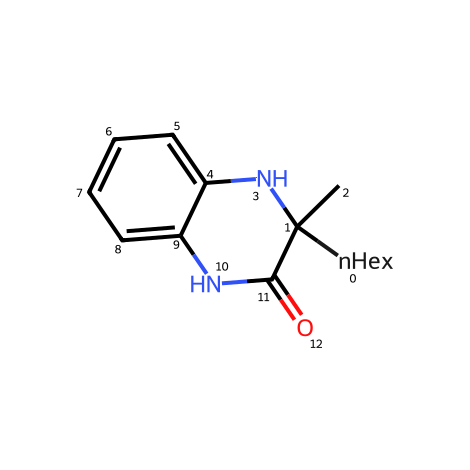 CCCCCCC1(C)Nc2ccccc2NC1=O